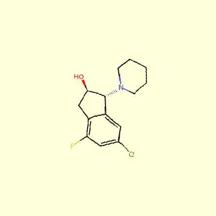 O[C@@H]1Cc2c(F)cc(Cl)cc2[C@H]1N1CCCCC1